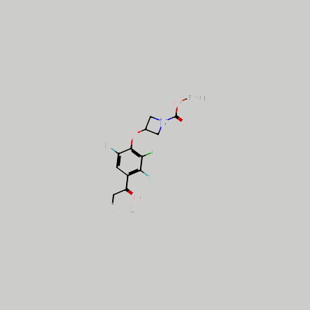 CCOC(=O)CC(=O)c1cc(F)c(OC2CN(C(=O)OC(C)(C)C)C2)c(Cl)c1F